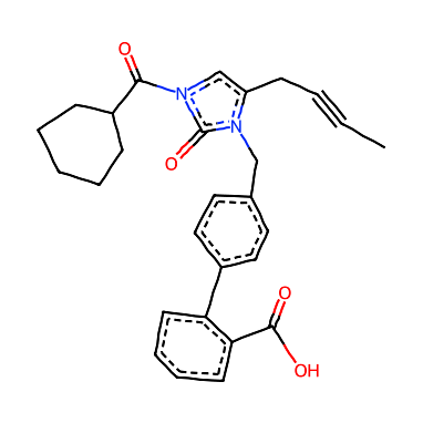 CC#CCc1cn(C(=O)C2CCCCC2)c(=O)n1Cc1ccc(-c2ccccc2C(=O)O)cc1